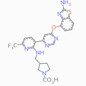 Nc1nc2c(Oc3cc(-c4ccc(C(F)(F)F)nc4NCC4CCN(C(=O)O)C4)ncn3)cccc2s1